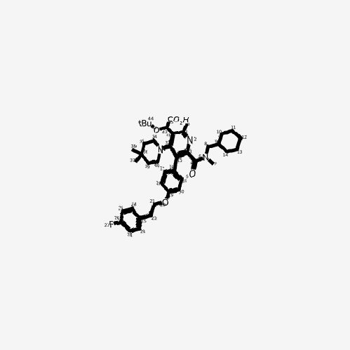 Cc1nc(C(=O)N(C)CC2CCCCC2)c(-c2ccc(OCCc3ccc(F)cc3)cc2)c(N2CCC(C)(C)CC2)c1C(OC(C)(C)C)C(=O)O